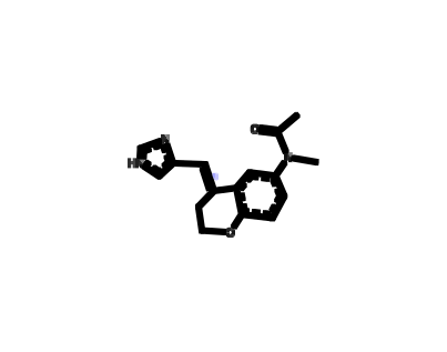 CC(=O)N(C)c1ccc2c(c1)/C(=C/c1c[nH]cn1)CCO2